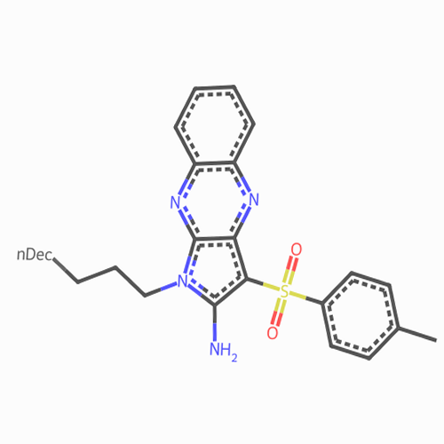 CCCCCCCCCCCCCn1c(N)c(S(=O)(=O)c2ccc(C)cc2)c2nc3ccccc3nc21